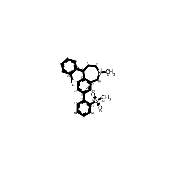 CN1CCC(c2ccccc2F)c2ccc(-c3ccccc3S(C)(=O)=O)cc2C1